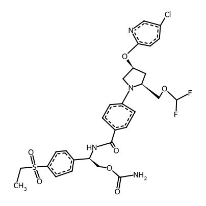 CCS(=O)(=O)c1ccc([C@H](COC(N)=O)NC(=O)c2ccc(N3C[C@@H](Oc4ccc(Cl)cn4)C[C@H]3COC(F)F)cc2)cc1